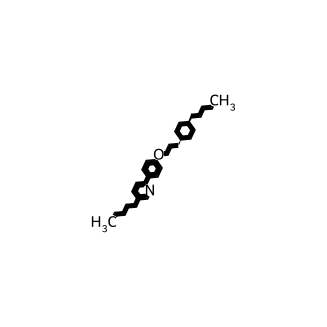 CCCCCc1ccc(-c2ccc(OCCC[C@H]3CC[C@H](CCCCC)CC3)cc2)nc1